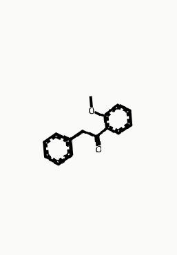 COc1ccccc1C(=O)Cc1ccccc1